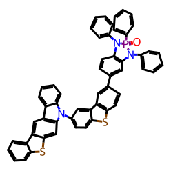 O=P1(c2ccccc2)N(c2ccccc2)c2ccc(-c3ccc4sc5ccc(-n6c7ccccc7c7cc8c(cc76)sc6ccccc68)cc5c4c3)cc2N1c1ccccc1